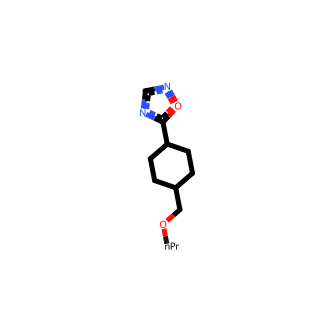 CCCOCC1CCC(c2n[c]no2)CC1